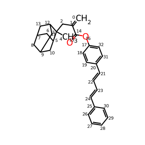 C=C(CC1(C)C2CC3CC(C2)CC1C3)C(=O)Oc1ccc(C=CC=Cc2ccccc2)cc1